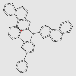 c1ccc(-c2ccc(N(c3ccc4c(ccc5ccccc54)c3)c3ccc4c(ccc5ccccc54)c3)c(-c3ccccc3)c2)cc1